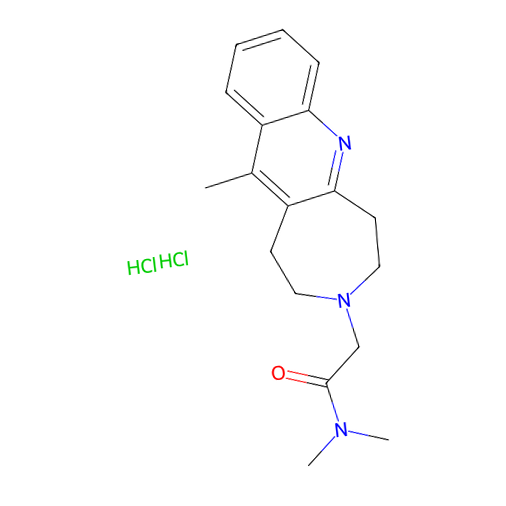 Cc1c2c(nc3ccccc13)CCN(CC(=O)N(C)C)CC2.Cl.Cl